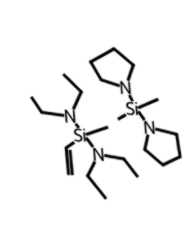 C=C[Si](C)(N(CC)CC)N(CC)CC.C[Si](C)(N1CCCC1)N1CCCC1